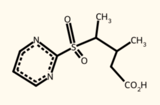 CC(CC(=O)O)C(C)S(=O)(=O)c1ncccn1